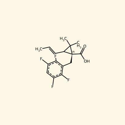 CC=CC1C(C)(C)[C@]1(Cc1c(F)c(F)cc(F)c1F)C(=O)O